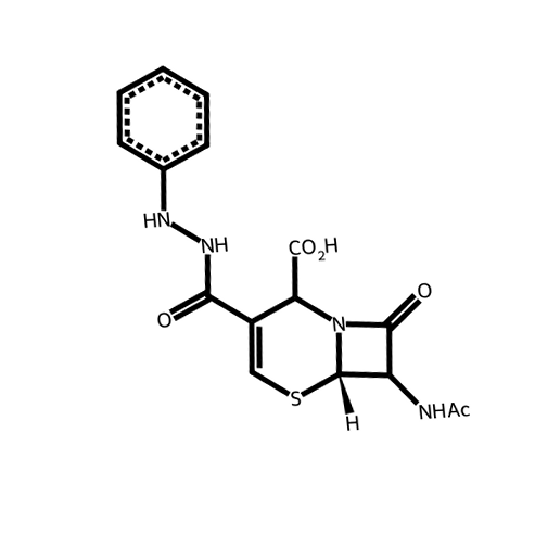 CC(=O)NC1C(=O)N2C(C(=O)O)C(C(=O)NNc3ccccc3)=CS[C@@H]12